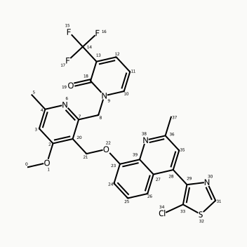 COc1cc(C)nc(Cn2cccc(C(F)(F)F)c2=O)c1COc1cccc2c(-c3ncsc3Cl)cc(C)nc12